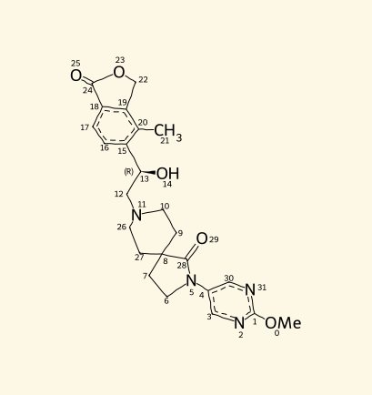 COc1ncc(N2CCC3(CCN(C[C@H](O)c4ccc5c(c4C)COC5=O)CC3)C2=O)cn1